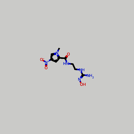 Cn1cc([N+](=O)[O-])cc1C(=O)NCCNC(N)=NO